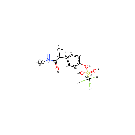 CNC(=O)C(C)c1ccc(OS(=O)(=O)C(F)(F)F)cc1